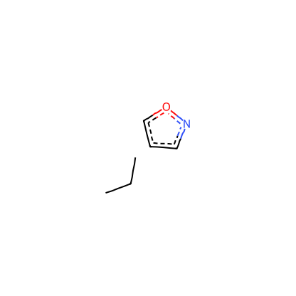 CCC.c1cnoc1